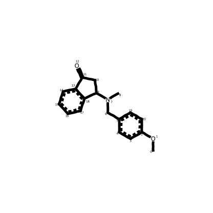 COc1ccc(CN(C)C2CC(=O)c3ccccc32)cc1